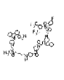 CN(CCN1CCC(N(C(=O)O)c2ccccc2-c2ccccc2)CC1)C(=O)CCCCCNc1ccc(C(=O)N2CCCN(C(=O)CO[C@H]3Cc4ccccc4C34CCN(CC[C@@H]3CN(C(=O)c5cc(C(F)(F)F)cc(C(F)(F)F)c5)C(c5ccc(F)cc5)O3)CC4)CC2)cc1